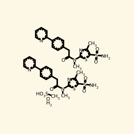 CS(=O)(=O)O.Cc1nc(N(C)C(=O)Cc2ccc(-c3ccccn3)cc2)sc1S(N)(=O)=O.Cc1nc(N(C)C(=O)Cc2ccc(-c3ccccn3)cc2)sc1S(N)(=O)=O.O